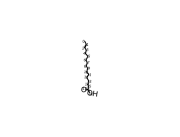 CC=CCCCCCCCCCCCCCC(=O)O